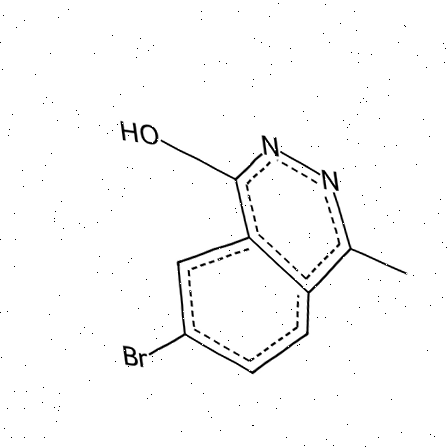 Cc1nnc(O)c2cc(Br)ccc12